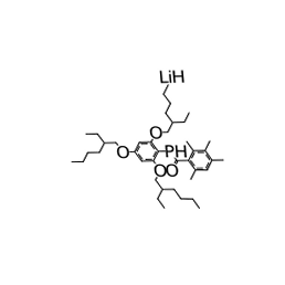 CCCCC(CC)COc1cc(OCC(CC)CCCC)c(PC(=O)c2c(C)cc(C)c(C)c2C)c(OCC(CC)CCCC)c1.[LiH]